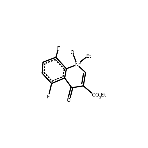 CCOC(=O)C1=C[N+]([O-])(CC)c2c(F)ccc(F)c2C1=O